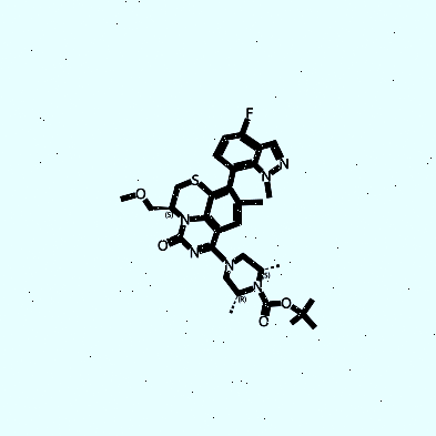 COC[C@H]1CSc2c(-c3ccc(F)c4cnn(C)c34)c(C)cc3c(N4C[C@@H](C)N(C(=O)OC(C)(C)C)[C@@H](C)C4)nc(=O)n1c23